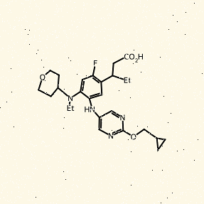 CCC(CC(=O)O)c1cc(Nc2cnc(OCC3CC3)nc2)c(N(CC)C2CCOCC2)cc1F